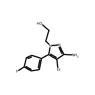 CCc1c(N)nn(CCO)c1-c1ccc(F)cc1